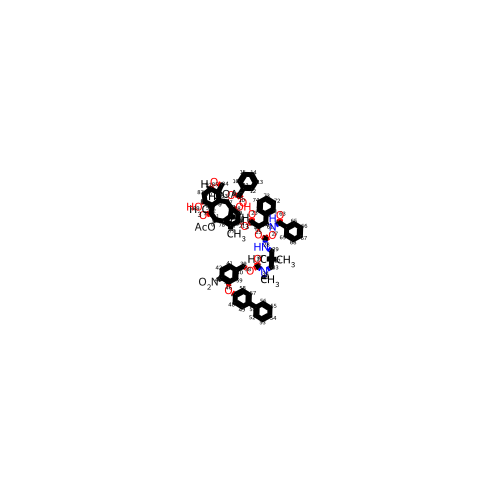 CC(=O)O[C@H]1C(=O)[C@@]2(C)[C@H]([C@H](OC(=O)c3ccccc3)[C@]3(O)C[C@H](OC(=O)[C@H](OC(=O)NCC(C)(C)CN(C)C(=O)OCc4ccc([N+](=O)[O-])c(Oc5ccc(-c6ccccc6)cc5)c4)[C@@H](NC(=O)c4ccccc4)c4ccccc4)C(C)=C1C3(C)C)[C@]1(OC(C)=O)CO[C@@H]1C[C@@H]2O